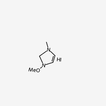 CON1C=CN(C)C1.I